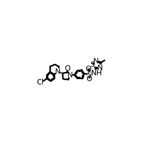 Cc1nsc(NS(=O)(=O)c2ccc(N3CC[C@@H](N4CCCc5cc(Cl)ccc54)C3=O)cc2)n1